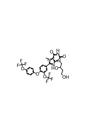 Cn1c(-c2ccc(Oc3ccc(OC(F)(F)F)cc3)c(OC(F)(F)F)c2)nc2c1c(=O)[nH]c(=O)n2CC(O)CCO